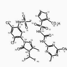 COc1nc(C)nc(NC(=O)NS(=O)(=O)c2ccsc2C(=O)O)n1.Cc1nn(-c2cc(NS(C)(=O)=O)c(Cl)cc2Cl)c(=O)n1C(F)F